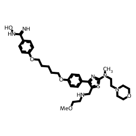 COCCNCc1sc(N(C)CCN2CCOCC2)nc1-c1ccc(OCCCCCOc2ccc(C(=N)NO)cc2)cc1